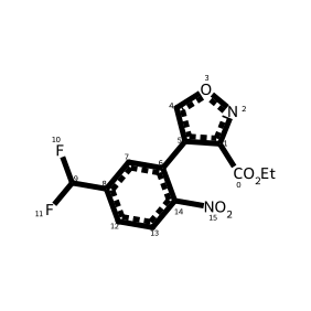 CCOC(=O)c1nocc1-c1cc(C(F)F)ccc1[N+](=O)[O-]